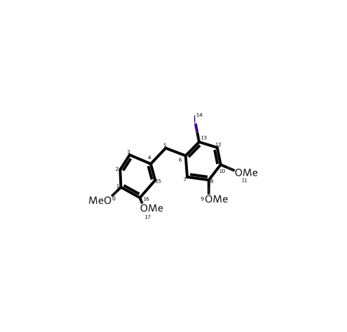 COc1ccc(Cc2cc(OC)c(OC)cc2I)cc1OC